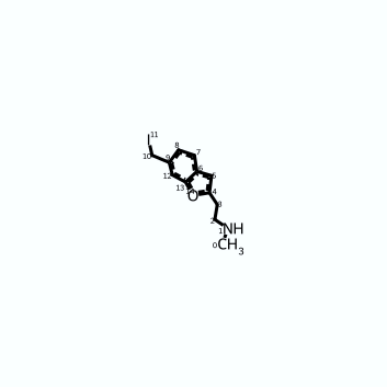 CNCCc1cc2ccc(CI)cc2o1